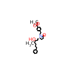 COC(=O)c1ccc(CCN2C(=O)CC[C@@H]2C=C[C@@H](O)[C@@H](C)CCCc2ccccc2)cc1